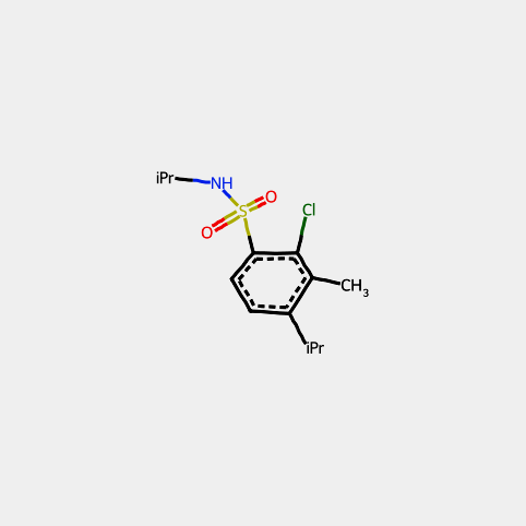 Cc1c(C(C)C)ccc(S(=O)(=O)NC(C)C)c1Cl